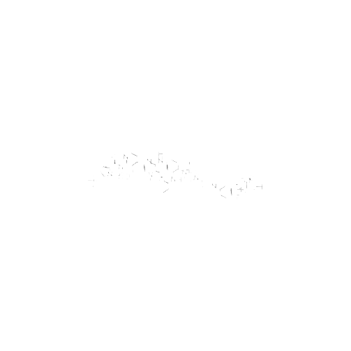 C=CC(=O)Nc1cc(Nc2nc(-c3ccnc(N4CCn5c(cc6c5CC(C)(C)C6)C4=O)c3CO)cn(C)c2=O)ccc1N1CCN(C2CCN(c3ccc(F)c(C(C)(C)OP(=O)(O)O)c3)CC2)C[C@@H]1C